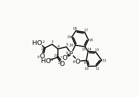 O=C(O)CC(CP1(=O)Oc2ccccc2-c2ccccc21)C(=O)O